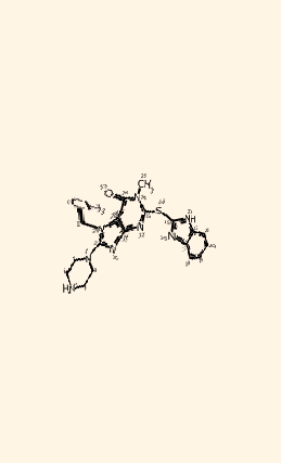 CCn1c(N2CCNCC2)nc2nc(Sc3nc4ccccc4[nH]3)n(C)c(=O)c21